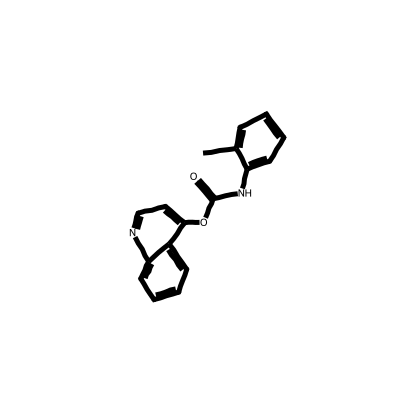 Cc1ccccc1NC(=O)Oc1ccnc2ccccc12